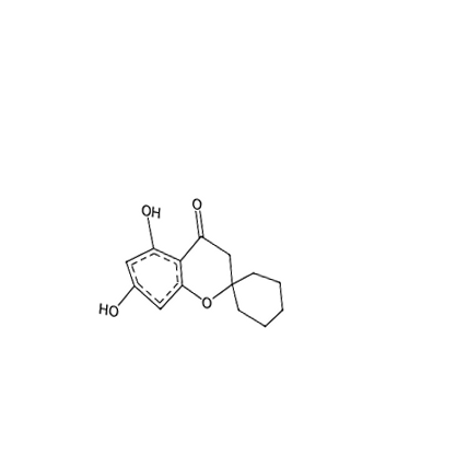 O=C1CC2(CCCCC2)Oc2cc(O)cc(O)c21